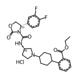 CCOC(=O)c1ccccc1C1CCC(N2CC[C@@H](NC(=O)N3C(=O)OC[C@@H]3c3ccc(F)c(F)c3)C2)CC1.Cl